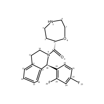 O=C([C@@H]1CCNCCO1)N1CCc2ccccc2[C@@H]1c1ccc(F)cc1F